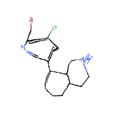 Clc1cc(C2=CCCC3CCNCC23)cnc1Br